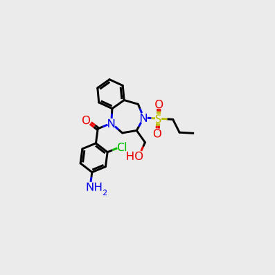 CCCS(=O)(=O)N1Cc2ccccc2N(C(=O)c2ccc(N)cc2Cl)CC1CO